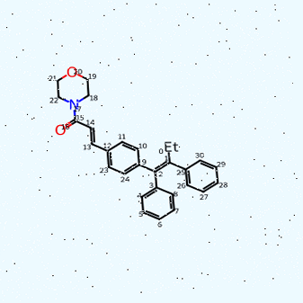 CCC(=C(c1ccccc1)c1ccc(C=CC(=O)N2CCOCC2)cc1)c1ccccc1